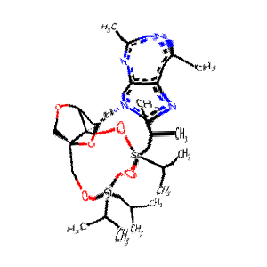 Cc1nc(C)c2ncn([C@@H]3O[C@@]45COC3[C@H]4O[Si](C(C)C)(C(C)C)O[Si](C(C)C)(C(C)C)OC5)c2n1